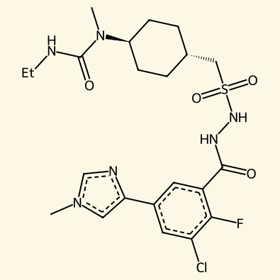 CCNC(=O)N(C)[C@H]1CC[C@H](CS(=O)(=O)NNC(=O)c2cc(-c3cn(C)cn3)cc(Cl)c2F)CC1